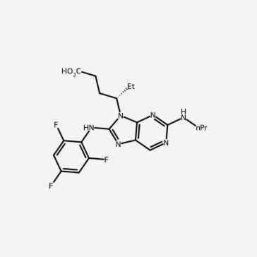 CCCNc1ncc2nc(Nc3c(F)cc(F)cc3F)n([C@@H](CC)CCC(=O)O)c2n1